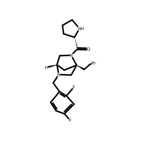 C[C](C)C[C@@]12C[C@@H](CN1C(=O)[C@@H]1CCCN1)N(Cc1ccc(F)cc1F)C2